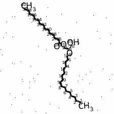 CCCCCCCC/C=C\CCCCCCCCO[C@@H](CO)COC(=O)CCCCCCCCCCCCCCC